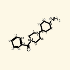 NC1CCC(N2CCN(C(=O)c3ccccc3)CC2)CC1